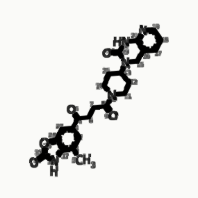 Cc1cc(C(=O)CCC(=O)N2CCC(N3Cc4cccnc4NC3=O)CC2)cc2oc(=O)[nH]c12